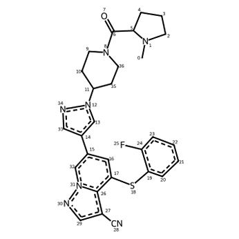 CN1CCCC1C(=O)N1CCC(n2cc(-c3cc(Sc4ccccc4F)c4c(C#N)cnn4c3)cn2)CC1